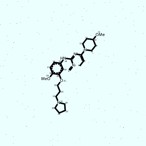 C=N/C(=N\C(=C/C)N1CCC(OC)CC1)Nc1ccc(OC)c(OCCCN2CCCC2)c1